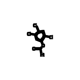 CCC(=O)Oc1cc(Cl)c(Cl)cc1Cl